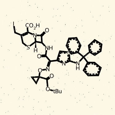 CC(C)(C)OC(=O)C1(O/N=C(\C(=O)NC2C(=O)N3C(C(=O)O)=C(CI)CS[C@@H]23)c2csc(NC(c3ccccc3)(c3ccccc3)c3ccccc3)n2)CC1